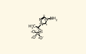 CC(O[Cl+3]([O-])([O-])[O-])N1CN(N)C=N1